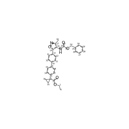 CCOC(=O)C1(c2ccc(-c3ccc(-c4onc(C)c4NC(=O)OCc4ccccc4)cc3)cc2)CC1